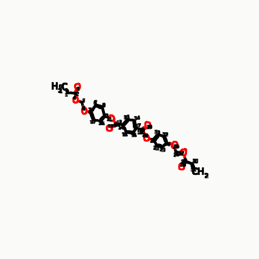 C=CC(=O)OCOc1ccc(OC(=O)c2ccc(C(=O)Oc3ccc(OCOC(=O)C=C)cc3)cc2)cc1